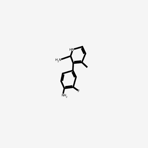 CC1=C(c2ccc(N)c(F)c2)C(N)NC=C1